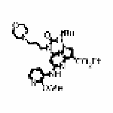 CCOC(=O)c1cnn2c(N(CCCN3CCOCC3)C(=O)OC(C)(C)C)cc(Nc3cccnc3OC)nc12